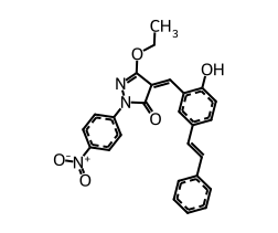 CCOC1=NN(c2ccc([N+](=O)[O-])cc2)C(=O)C1=Cc1cc(C=Cc2ccccc2)ccc1O